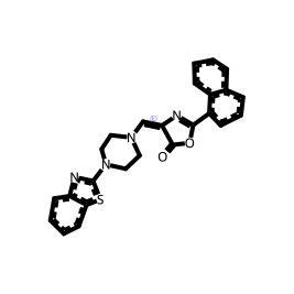 O=C1OC(c2cccc3ccccc23)=N/C1=C/N1CCN(c2nc3ccccc3s2)CC1